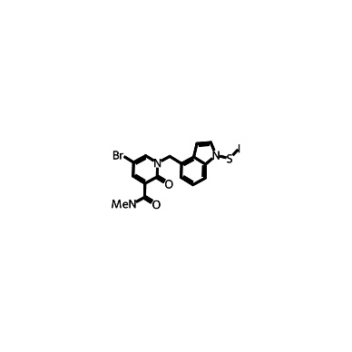 CNC(=O)c1cc(Br)cn(Cc2cccc3c2ccn3SI)c1=O